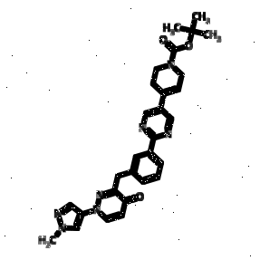 Cn1cc(-n2ccc(=O)c(Cc3cccc(-c4ncc(C5=CCN(C(=O)OC(C)(C)C)CC5)cn4)c3)n2)cn1